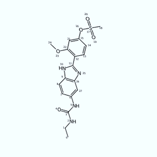 CCNC(=O)Nc1ccc2[nH]c(-c3ccc(OS(C)(=O)=O)cc3OC)nc2c1